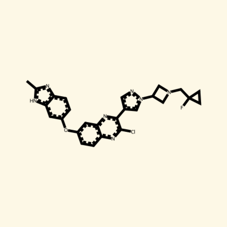 Cc1nc2ccc(Oc3ccc4nc(Cl)c(-c5cnn(C6CN(CC7(F)CC7)C6)c5)nc4c3)cc2[nH]1